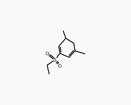 CCS(=O)(=O)C1=CC(C)CC(C)=C1